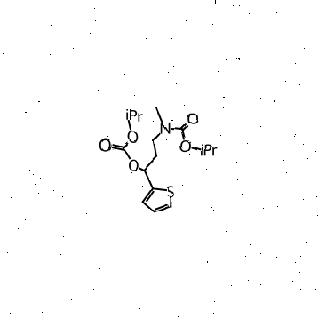 CC(C)OC(=O)OC(CCN(C)C(=O)OC(C)C)c1cccs1